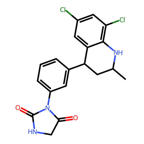 CC1CC(c2cccc(N3C(=O)CNC3=O)c2)c2cc(Cl)cc(Cl)c2N1